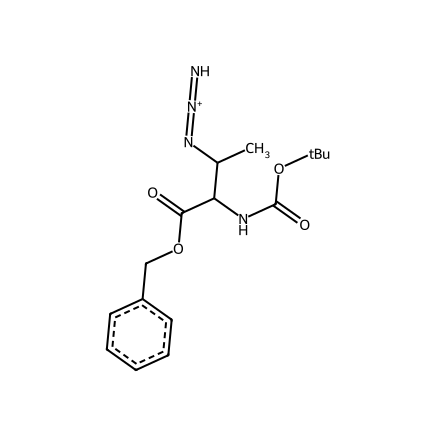 CC(N=[N+]=N)C(NC(=O)OC(C)(C)C)C(=O)OCc1ccccc1